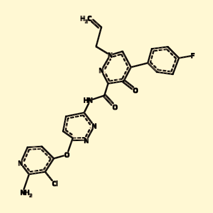 C=CCn1cc(-c2ccc(F)cc2)c(=O)c(C(=O)Nc2ccc(Oc3ccnc(N)c3Cl)nn2)n1